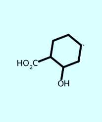 O=C(O)C1CC[CH]CC1O